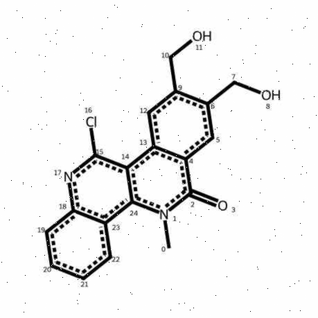 Cn1c(=O)c2cc(CO)c(CO)cc2c2c(Cl)nc3ccccc3c21